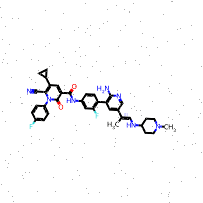 C/C(=C\NC1CCN(C)CC1)c1cnc(N)c(-c2ccc(NC(=O)c3cc(C4CC4)c(C#N)n(-c4ccc(F)cc4)c3=O)cc2F)c1